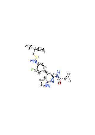 CC(C)CSNc1ccc(-c2cc(NC(=O)C3CC3)nc3[nH]ccc23)cc1F